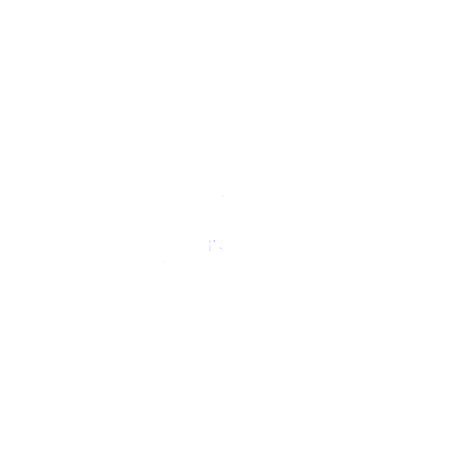 CC(C)c1ccc(NC(=O)c2ccccc2O)cc1